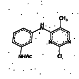 CC(=O)Nc1cccc(Nc2nc(Cl)ncc2C)c1